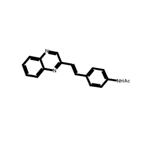 CC(=O)Nc1ccc(C=Cc2cnc3ccccc3n2)cc1